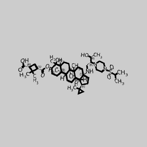 CC(C)S(=O)(=O)N1CCN([C@H](CN[C@]23CC[C@@H](C4(C)CC4)[C@@H]2[C@H]2CC[C@@H]4[C@@]5(C)CC[C@H](OC(=O)[C@H]6C[C@@H](C(=O)O)C6(C)C)C(C)(C)[C@@H]5CC[C@@]4(C)[C@]2(C)CC3)[C@@H](C)O)CC1